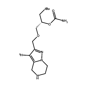 [2H]c1c(COC[C@H](CC(C)(C)C)OC(N)=O)nn2c1CNCC2